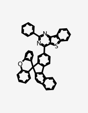 c1ccc(-c2nc(-c3ccc4c(c3)C3(c5ccccc5Oc5ccccc53)c3ccc5ccccc5c3-4)c3sc4ccccc4c3n2)cc1